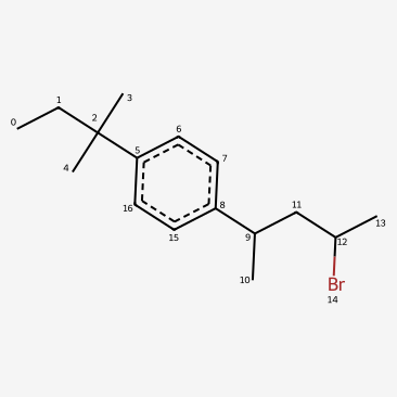 CCC(C)(C)c1ccc(C(C)CC(C)Br)cc1